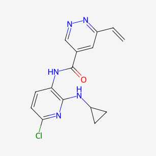 C=Cc1cc(C(=O)Nc2ccc(Cl)nc2NC2CC2)cnn1